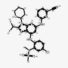 CN(c1cc(Cl)ccc1Nc1cc(Nc2cccc(C#N)n2)nc2c1nc(C(F)F)n2C1CCCCO1)S(C)(=O)=O